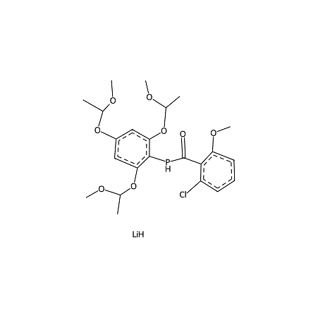 COc1cccc(Cl)c1C(=O)Pc1c(OC(C)OC)cc(OC(C)OC)cc1OC(C)OC.[LiH]